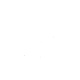 Cn1ncc2c1Nc1ccccc1N(C(O)c1cc(F)cc(F)c1)C2